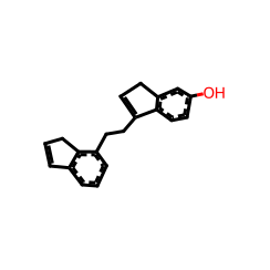 Oc1ccc2c(c1)CC=C2CCc1cccc2c1CC=C2